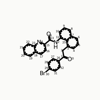 O=C(Cc1cccc2cccc(NC(=O)c3ccc4ccccc4n3)c12)c1ccc(Br)cc1